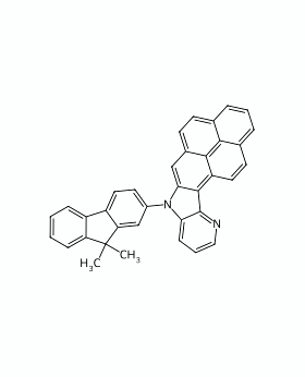 CC1(C)c2ccccc2-c2ccc(-n3c4cccnc4c4c5ccc6cccc7ccc(cc43)c5c76)cc21